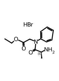 Br.CCOC(=O)CN(C(=O)[C@H](C)N)c1ccccc1